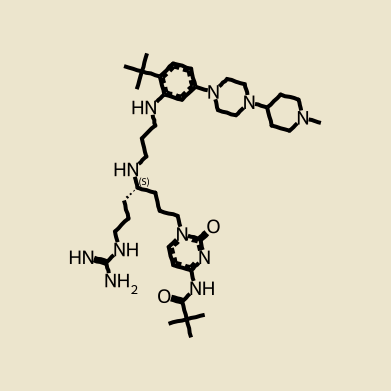 CN1CCC(N2CCN(c3ccc(C(C)(C)C)c(NCCCN[C@@H](CCCNC(=N)N)CCCn4ccc(NC(=O)C(C)(C)C)nc4=O)c3)CC2)CC1